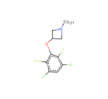 O=C(O)N1CC(Oc2c(F)c(F)cc(F)c2F)C1